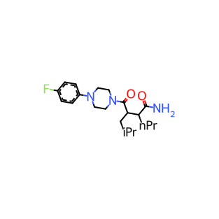 CCCC(C(N)=O)C(CC(C)C)C(=O)N1CCN(c2ccc(F)cc2)CC1